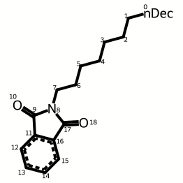 CCCCCCCCCCCCCCCCCN1C(=O)c2ccccc2C1=O